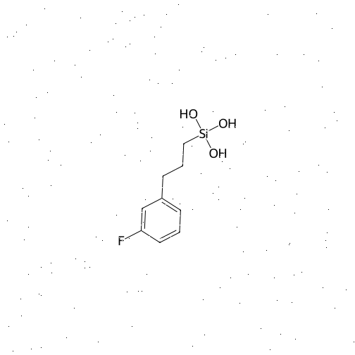 O[Si](O)(O)CCCc1cccc(F)c1